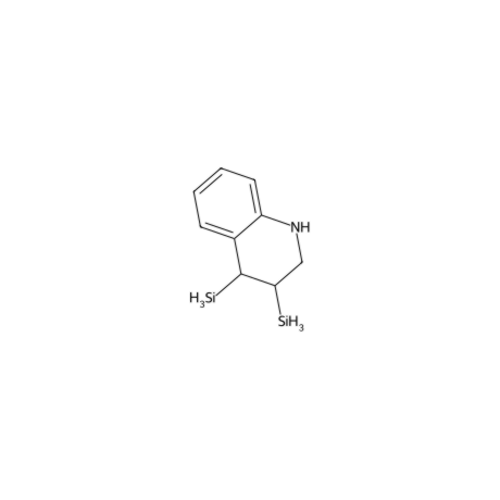 [SiH3]C1CNc2ccccc2C1[SiH3]